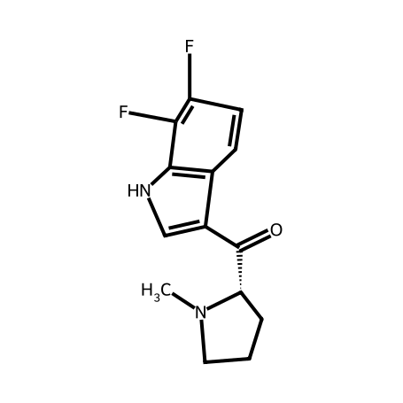 CN1CCC[C@H]1C(=O)c1c[nH]c2c(F)c(F)ccc12